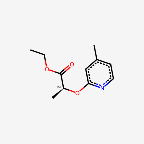 CCOC(=O)[C@H](C)Oc1cc(C)ccn1